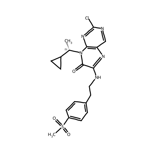 C[C@@H](C1CC1)n1c(=O)c(NCCc2ccc(S(C)(=O)=O)cc2)nc2cnc(Cl)nc21